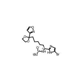 CC(C)(C)[S+]([O-])N[C@@H](CCCCCC1(c2ccon2)OCCO1)c1ncc(Br)[nH]1